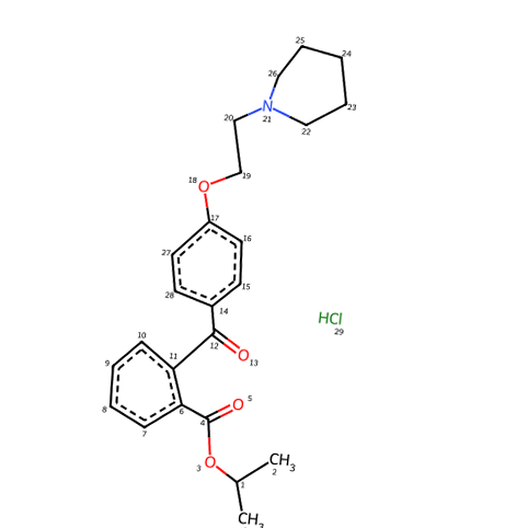 CC(C)OC(=O)c1ccccc1C(=O)c1ccc(OCCN2CCCCC2)cc1.Cl